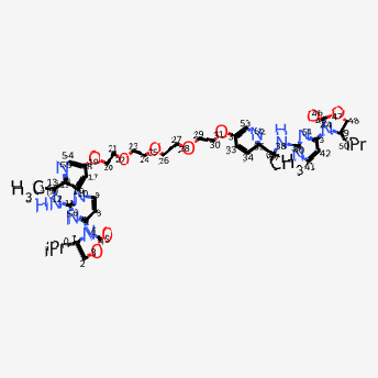 CC(C)C1COC(=O)N1c1ccnc(N[C@@H](C)c2ccc(OCCOCCOCCOCCOc3ccc([C@H](C)Nc4nccc(N5C(=O)OCC5C(C)C)n4)nc3)cn2)n1